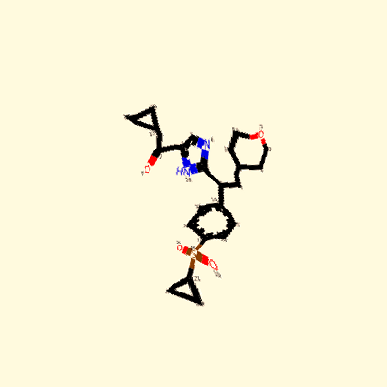 O=C(c1cnc(C(CC2CCOCC2)c2ccc(S(=O)(=O)C3CC3)cc2)[nH]1)C1CC1